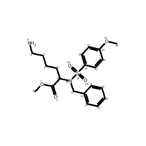 COC(=O)C(CCCCN)N(Cc1ccccc1)S(=O)(=O)c1ccc(OC)cc1